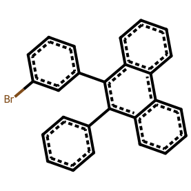 Brc1cccc(-c2c(-c3ccccc3)c3ccccc3c3ccccc23)c1